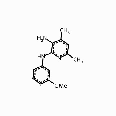 COc1[c]ccc(Nc2nc(C)cc(C)c2N)c1